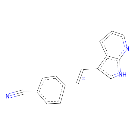 N#Cc1ccc(/C=C/c2c[nH]c3ncccc23)cc1